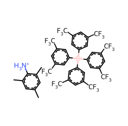 Cc1cc(C)c([NH3+])c(C)c1.FC(F)(F)c1cc([B-](c2cc(C(F)(F)F)cc(C(F)(F)F)c2)(c2cc(C(F)(F)F)cc(C(F)(F)F)c2)c2cc(C(F)(F)F)cc(C(F)(F)F)c2)cc(C(F)(F)F)c1